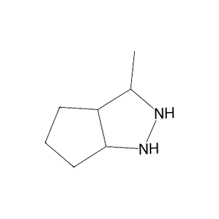 CC1NNC2CCCC12